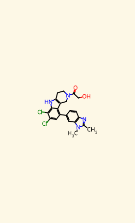 Cc1nc2ccc(-c3cc(Cl)c(Cl)c4[nH]c5c(c34)CN(C(=O)CO)CC5)cc2n1C